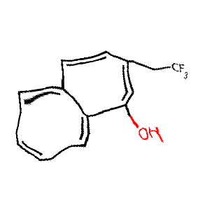 Oc1c(C(F)(F)F)ccc2ccccc12